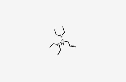 C=CC[SiH](N(CC)CC)N(CC)CC